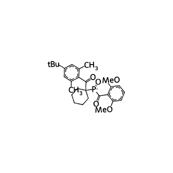 COc1cccc(OC)c1C(=O)[P](=O)C1(C(=O)c2c(C)cc(C(C)(C)C)cc2C)CCCCC1